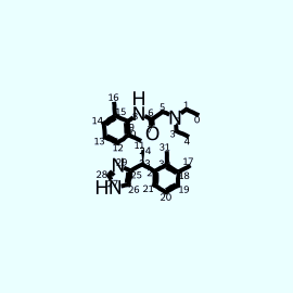 CCN(CC)CC(=O)Nc1c(C)cccc1C.Cc1cccc([C@H](C)c2c[nH]cn2)c1C